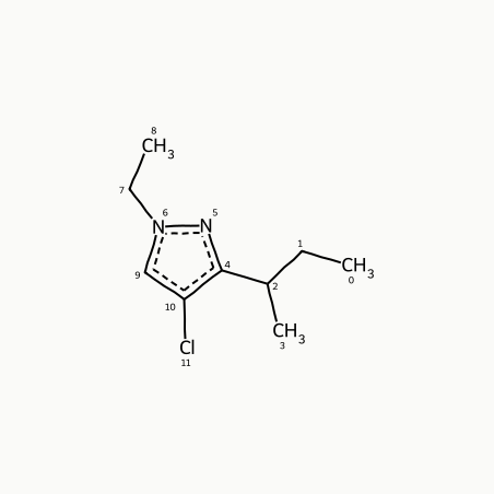 CCC(C)c1nn(CC)cc1Cl